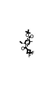 CC[C@@H]1CN(C(=O)OC(C)(C)C)[C@@H](C)CN1C(=O)C1CC(F)(F)C1